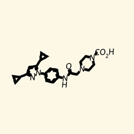 O=C(CN1CCN(C(=O)O)CC1)Nc1ccc(-n2nc(C3CC3)cc2C2CC2)cc1